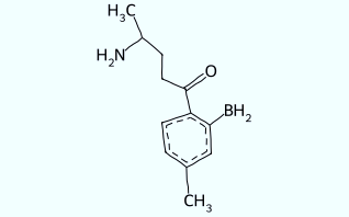 Bc1cc(C)ccc1C(=O)CCC(C)N